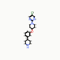 Clc1cnc(N2CCC(Oc3cccc(C4CCNCC4)c3)CC2)nc1